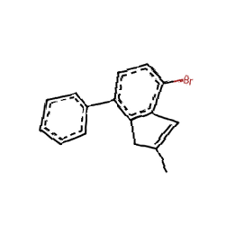 CC1=Cc2c(Br)ccc(-c3ccccc3)c2C1